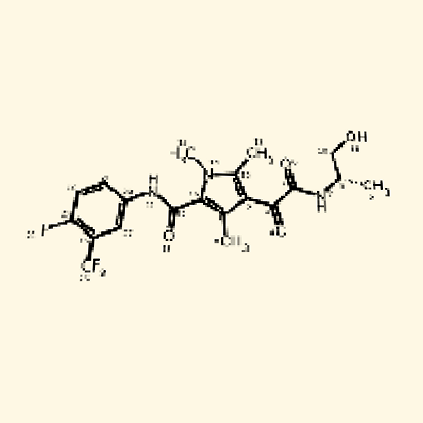 Cc1c(C(=O)C(=O)N[C@@H](C)CO)c(C)n(C)c1C(=O)Nc1ccc(F)c(C(F)(F)F)c1